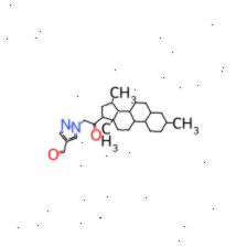 CC1CCC2C(CCC3C2CCC2(C)C(C(=O)Cn4cc(C=O)cn4)CC(C)C32)C1